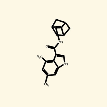 Cc1cc(C)c2c(C(=O)NC3=C4C5CC(C3)CC4C5)c[nH]c2c1